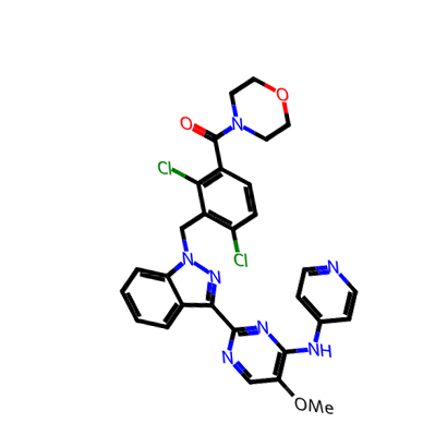 COc1cnc(-c2nn(Cc3c(Cl)ccc(C(=O)N4CCOCC4)c3Cl)c3ccccc23)nc1Nc1ccncc1